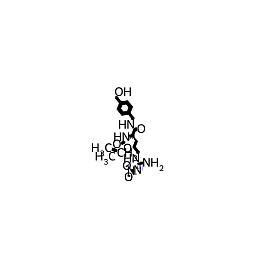 CC(C)(C)OC(=O)N[C@H](CCCN/C(N)=N\[N+](=O)[O-])C(=O)NCc1ccc(CO)cc1